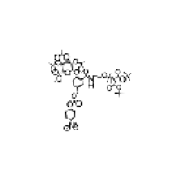 COC(=O)[C@H]1OC(Oc2ccc(COC(=O)Oc3ccc([N+](=O)[O-])cc3)cc2C(=O)NCCOC(C)(C)N(C(=O)OC(C)(C)C)C(=O)OC(C)(C)C)[C@H](OC(C)=O)[C@@H](OC(C)=O)[C@@H]1OC(C)=O